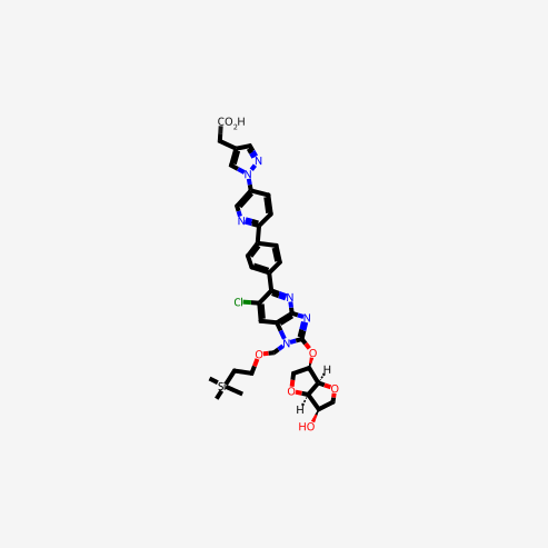 C[Si](C)(C)CCOCn1c(O[C@@H]2CO[C@H]3[C@@H]2OC[C@H]3O)nc2nc(-c3ccc(-c4ccc(-n5cc(CC(=O)O)cn5)cn4)cc3)c(Cl)cc21